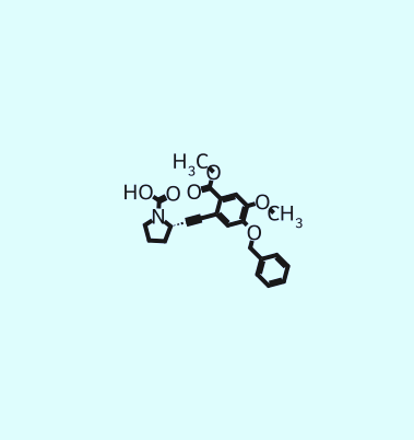 COC(=O)c1cc(OC)c(OCc2ccccc2)cc1C#C[C@@H]1CCCN1C(=O)O